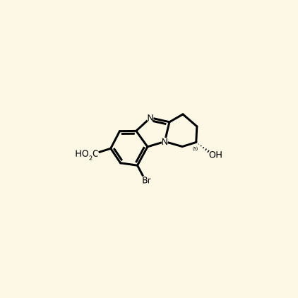 O=C(O)c1cc(Br)c2c(c1)nc1n2C[C@@H](O)CC1